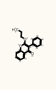 CCCOc1oc2ccccc2c(=O)c1-c1ccccc1